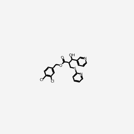 O=C(OCc1ccc(Cl)c(Cl)c1)C(CSc1ccccn1)C(O)c1cccnc1